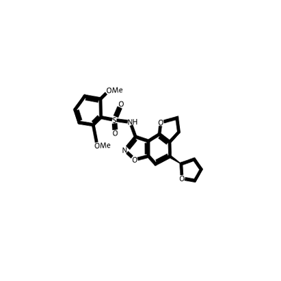 COc1cccc(OC)c1S(=O)(=O)Nc1noc2cc([C@H]3CCCO3)c3c(c12)OCC3